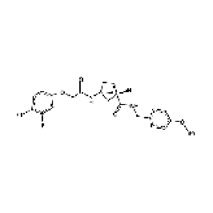 CC(C)Oc1ccc(CNC(=O)[C@@H]2CC3(NC(=O)COc4ccc(Cl)c(F)c4)CC2C3)cc1